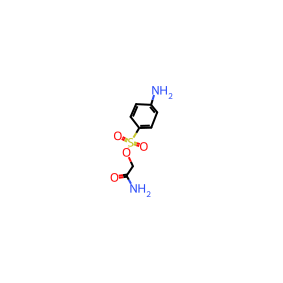 NC(=O)COS(=O)(=O)c1ccc(N)cc1